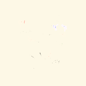 COC1=CCC[C@@H](C)[C@@]12Cc1c(OCCO)cc(-c3nc(C)no3)c(Cl)c1O2